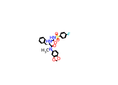 CN(C(=O)[C@H](Cc1ccccc1)NC(=O)NS(=O)(=O)c1ccc(F)cc1)c1ccc2c(c1)OCO2